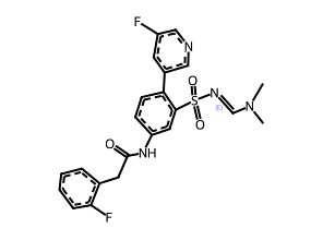 CN(C)/C=N/S(=O)(=O)c1cc(NC(=O)Cc2ccccc2F)ccc1-c1cncc(F)c1